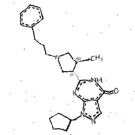 C[C@@H]1CN(CCCc2ccccc2)C[C@H]1c1nc2c(cnn2C2CCCC2)c(=O)[nH]1